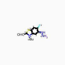 CCC(C)N1c2cc(NN)c(F)cc2SC1C=O